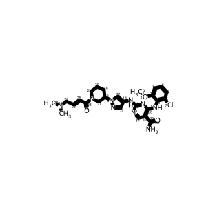 COc1cccc(Cl)c1Nc1nc(Nc2cnn(C3CCCN(C(=O)/C=C/CN(C)C)C3)c2)ncc1C(N)=O